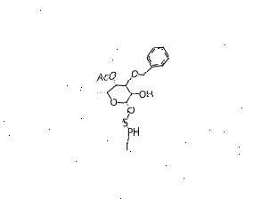 CC(=O)O[C@@H]1C(OCc2ccccc2)C(O)[C@H](OSPI)O[C@@H]1C